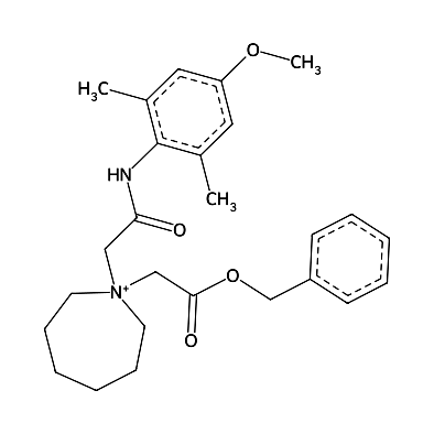 COc1cc(C)c(NC(=O)C[N+]2(CC(=O)OCc3ccccc3)CCCCCC2)c(C)c1